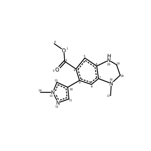 COC(=O)c1cc2c(cc1-c1cnn(C)c1)N(C)CCN2